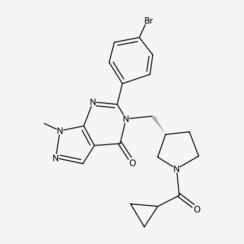 Cn1ncc2c(=O)n(C[C@@H]3CCN(C(=O)C4CC4)C3)c(-c3ccc(Br)cc3)nc21